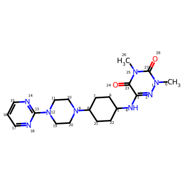 Cn1nc(NC2CCC(N3CCN(c4ncccn4)CC3)CC2)c(=O)n(C)c1=O